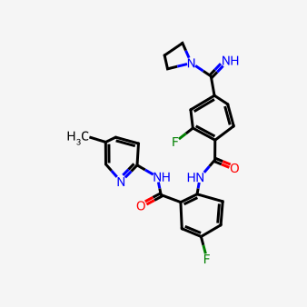 Cc1ccc(NC(=O)c2cc(F)ccc2NC(=O)c2ccc(C(=N)N3CCC3)cc2F)nc1